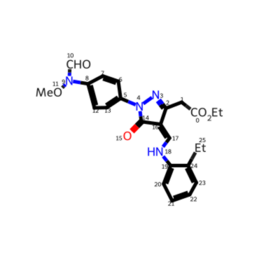 CCOC(=O)CC1=NN(c2ccc(N(C=O)OC)cc2)C(=O)C1=CNc1ccccc1CC